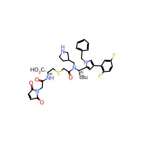 CC(C)(C)[C@H](c1cc(-c2cc(F)ccc2F)cn1Cc1ccccc1)N(CC1CCNC1)C(=O)CSC[C@H](NC(=O)CN1C(=O)C=CC1=O)C(=O)O